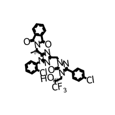 C[C@H](c1nc(Cn2nc(-c3ccc(Cl)cc3)n(C[C@H](O)C(F)(F)F)c2=O)nn1-c1ccccc1Cl)N1C(=O)c2ccccc2C1=O